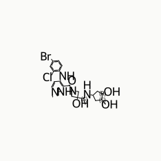 C[C@H](NC1C[C@@H](O)[C@@H](O)C1)C1(O)CN(C(=O)C2=C(Nc3ccc(Br)cc3Cl)C=CN(C)N2)C1